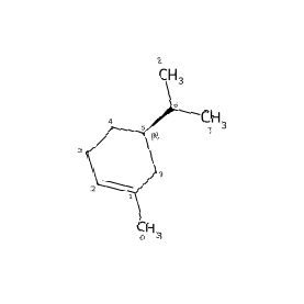 CC1=CCC[C@@H](C(C)C)C1